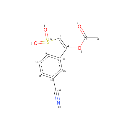 CC(=O)OC1=CS(=O)(=O)c2ccc(C#N)cc21